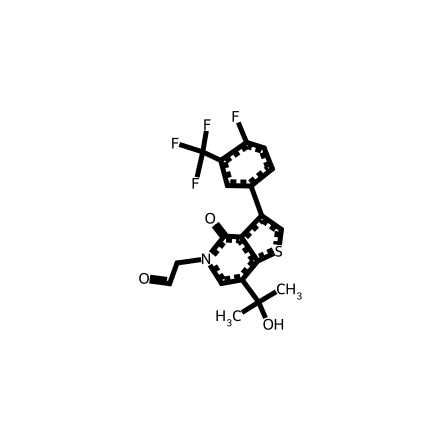 CC(C)(O)c1cn(CC=O)c(=O)c2c(-c3ccc(F)c(C(F)(F)F)c3)csc12